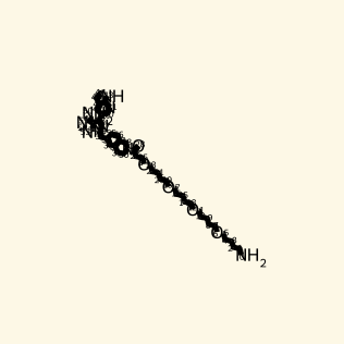 NCCCCCOCCCCCOCCCCCOCCCCCOCCC(=O)N1CCc2cc(Cn3nc(-c4cnc5[nH]ccc5c4)c4c(N)ncnc43)ccc2C1